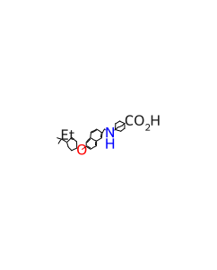 CCC(C)(C)C1CCC(Oc2ccc3cc(CNC45CCC(C(=O)O)(CC4)CC5)ccc3c2)CC1